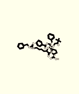 CC(C)(C)C(=O)COP(=O)(OC(CCCCNC(=O)OCc1ccccc1)C(=O)N1CCC[C@H]1C(=O)O)[C@@H](Cc1ccccc1)OC(=O)c1ccccc1